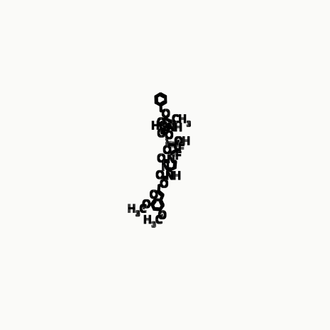 COc1cc(OC)c2oc(COC(=O)Nc3ccn([C@@H]4O[C@H](COP(=O)(O)N[C@@H](C)C(=O)OCc5ccccc5)[C@@H](O)C4(F)F)c(=O)n3)cc2c1